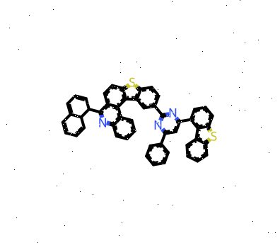 C1=CC2=CC=CC(c3nc4ccccc4c4c3ccc3sc5ccc(-c6nc(-c7ccccc7)cc(-c7cccc8sc9ccccc9c78)n6)cc5c34)C2C=C1